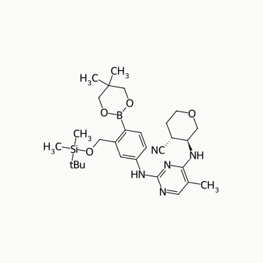 Cc1cnc(Nc2ccc(B3OCC(C)(C)CO3)c(CO[Si](C)(C)C(C)(C)C)c2)nc1N[C@@H]1COCC[C@H]1C#N